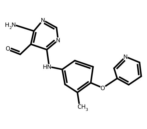 Cc1cc(Nc2ncnc(N)c2C=O)ccc1Oc1cccnc1